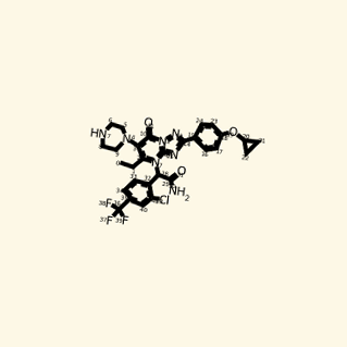 CCc1c(N2CCNCC2)c(=O)n2nc(-c3ccc(OC4CC4)cc3)nc2n1C(C(N)=O)c1ccc(C(F)(F)F)cc1Cl